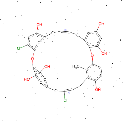 Cc1c2ccc(O)c1C/C=C(/Cl)Cc1cc(O)c(c(O)c1)Oc1cc(c(O)cc1Cl)C/C=C\Cc1cc(O)cc(O)c1O2